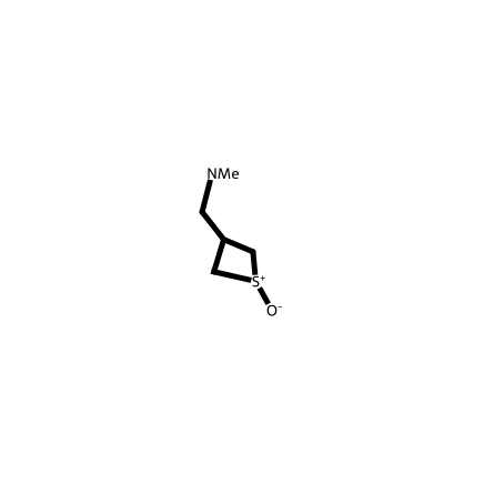 CNCC1C[S+]([O-])C1